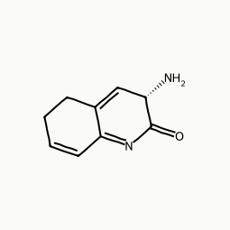 N[C@H]1C=C2CCC=CC2=NC1=O